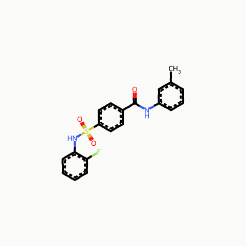 Cc1cccc(NC(=O)c2ccc(S(=O)(=O)Nc3ccccc3F)cc2)c1